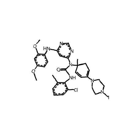 COc1ccc(Nc2cc(N(C(=O)Nc3c(C)cccc3Cl)C3(C)C=CC(N4CCN(I)CC4)=CC3)ncn2)c(OC)c1